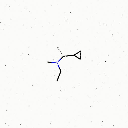 CCN(C)[C@H](C)C1CC1